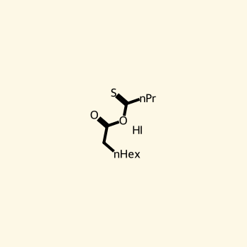 CCCCCCCC(=O)OC(=S)CCC.I